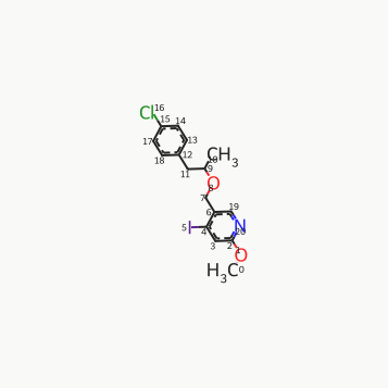 COc1cc(I)c(COC(C)Cc2ccc(Cl)cc2)cn1